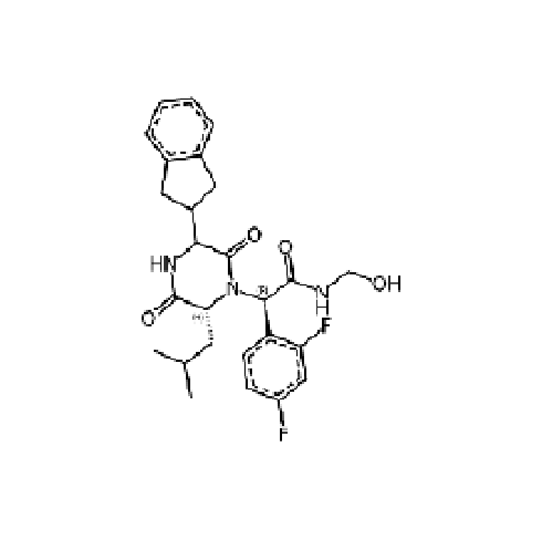 CC(C)C[C@@H]1C(=O)NC(C2Cc3ccccc3C2)C(=O)N1[C@@H](C(=O)NCO)c1ccc(F)cc1F